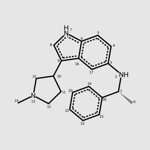 C[C@@H](Nc1ccc2[nH]cc(C3CCN(C)C3)c2c1)c1ccccc1